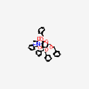 CC(=O)N[C@@H]1[C@@H](OCc2ccccc2)O[C@H](COCc2ccccc2)[C@@H](OCc2ccccc2)[C@]1(Cc1ccccc1)OCc1ccccc1